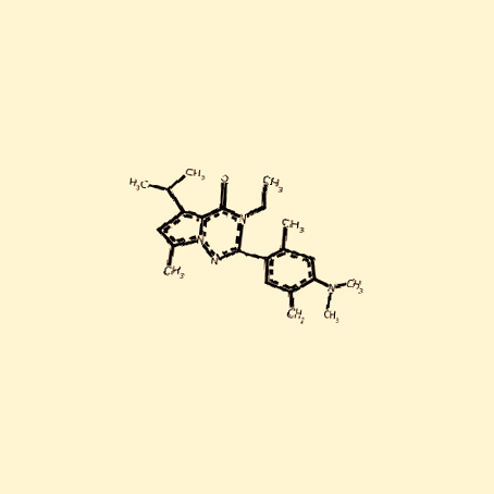 CCn1c(-c2cc(C)c(N(C)C)cc2C)nn2c(C)cc(C(C)C)c2c1=O